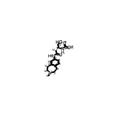 CN1CCc2ccc(NC(=O)C[C@H](CO)NC(=O)O)cc2CC1